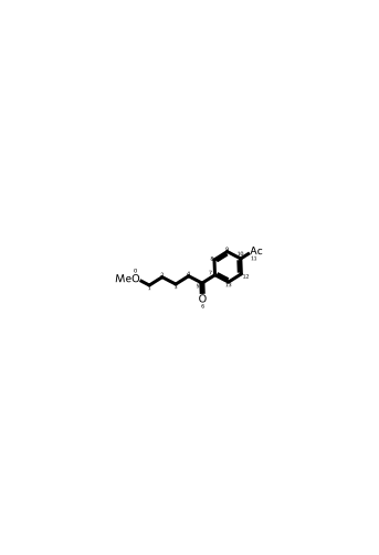 COCCCCC(=O)c1ccc(C(C)=O)cc1